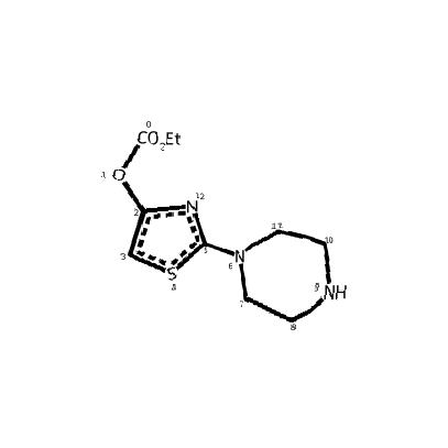 CCOC(=O)Oc1csc(N2CCNCC2)n1